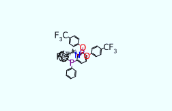 C[C@@H](N(C)P(Oc1ccc(C(F)(F)F)cc1)Oc1ccc(C(F)(F)F)cc1)[C@@]12[CH]3[CH]4[CH]5[C]1(P(c1ccccc1)c1ccccc1)[Fe]45321678[CH]2[CH]1[CH]6[CH]7[CH]28